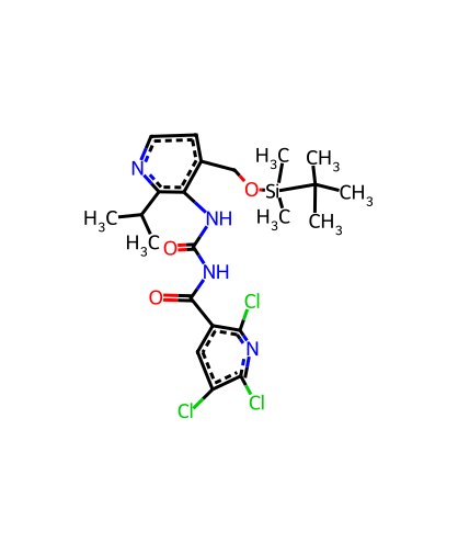 CC(C)c1nccc(CO[Si](C)(C)C(C)(C)C)c1NC(=O)NC(=O)c1cc(Cl)c(Cl)nc1Cl